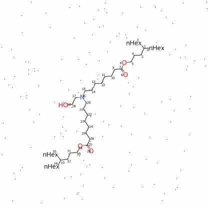 CCCCCCC(CCCCCC)CCCOC(=O)CCCCCCCN(CCO)CCCCCCCC(=O)OCCCC(CCCCCC)CCCCCC